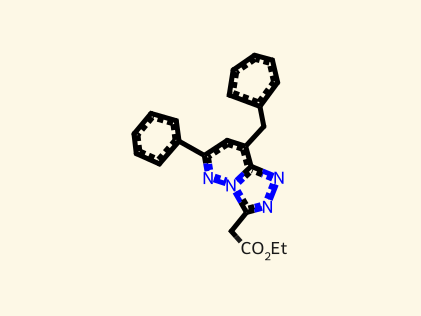 CCOC(=O)Cc1nnc2c(Cc3ccccc3)cc(-c3ccccc3)nn12